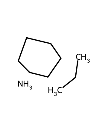 C1CCCCC1.CCC.N